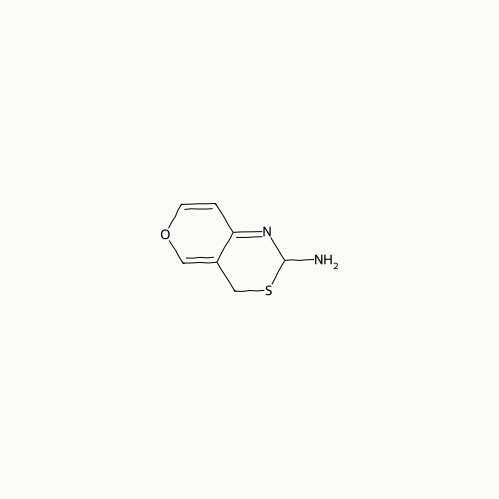 NC1N=C2C=COC=C2CS1